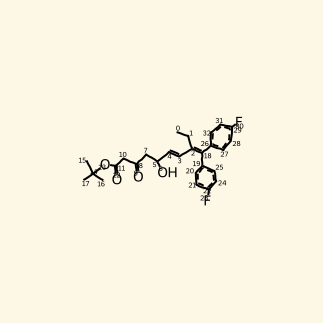 CCC(C=CC(O)CC(=O)CC(=O)OC(C)(C)C)=C(c1ccc(F)cc1)c1ccc(F)cc1